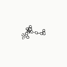 c1ccc(C2(c3ccccc3)c3ccccc3-c3cc(N(c4ccc(-c5ccc(-c6ccc7oc8ccccc8c7c6)cc5)cc4)c4cccc5c4oc4ccccc45)ccc32)cc1